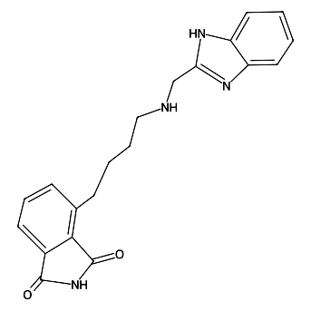 O=C1NC(=O)c2c(CCCCNCc3nc4ccccc4[nH]3)cccc21